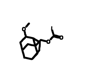 COC1CC2CC3CCC1C(COC(=O)I)(C3)C2